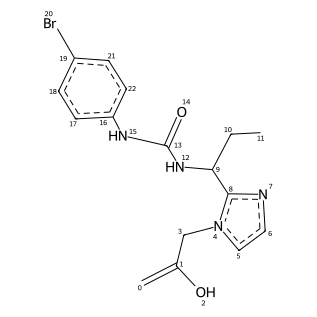 C=C(O)Cn1ccnc1C(CC)NC(=O)Nc1ccc(Br)cc1